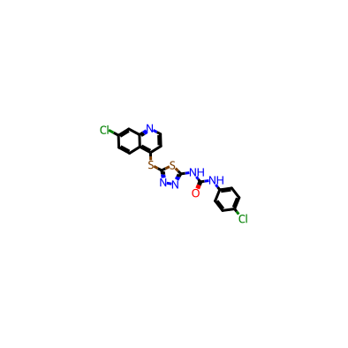 O=C(Nc1ccc(Cl)cc1)Nc1nnc(Sc2ccnc3cc(Cl)ccc23)s1